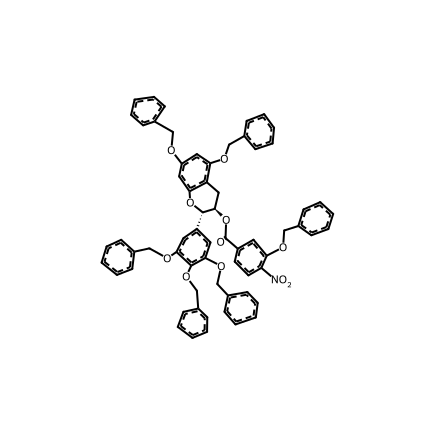 O=C(O[C@@H]1Cc2c(OCc3ccccc3)cc(OCc3ccccc3)cc2O[C@H]1c1cc(OCc2ccccc2)c(OCc2ccccc2)c(OCc2ccccc2)c1)c1ccc([N+](=O)[O-])c(OCc2ccccc2)c1